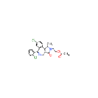 CC(=O)OCCN1C(=O)C2=C(c3ccc(Cl)cc3C(c3ccccc3Cl)=NC2)C1C